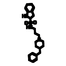 O=S(=O)(NCCCN1CCC(Cc2ccccc2)CC1)C1Cc2ccccc2N1